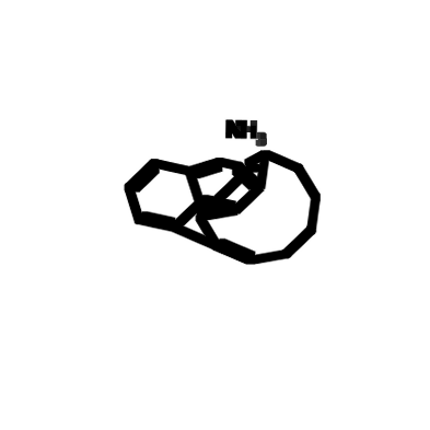 N.c1cc2ccc3c4ccc5cc(c(c1)c2c53)CCCC4